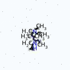 C=C(NC(/C=C\C)=C/C(C)=C(\C)C(=C)N(CCC)CCC)C1CC1